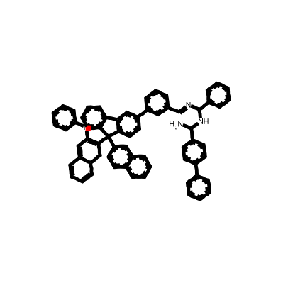 NC(NC(/N=C/c1cccc(-c2ccc3c(c2)-c2ccccc2C3(C2=C(Nc3ccccc3)C=C3C=CC=CC3C2)c2ccc3ccccc3c2)c1)c1ccccc1)c1ccc(-c2ccccc2)cc1